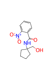 O=C(NC1(CO)CCCC1)c1ccccc1[N+](=O)[O-]